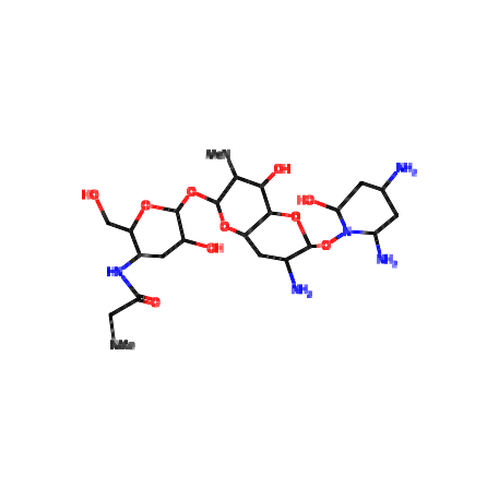 CNCC(=O)NC1CC(O)C(OC2OC3CC(N)C(ON4C(N)CC(N)CC4O)OC3C(O)C2NC)OC1CO